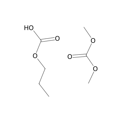 CCCOC(=O)O.COC(=O)OC